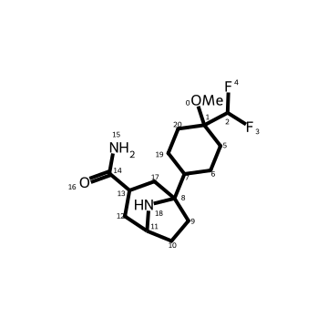 COC1(C(F)F)CCC(C23CCC(CC(C(N)=O)C2)N3)CC1